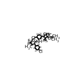 C[C@H](C(C(=O)Nc1cc(C(O)C2(C(=O)OC(C)(C)C)CC2)ccc1Cl)c1ccc(Cl)cc1)C(F)(F)F